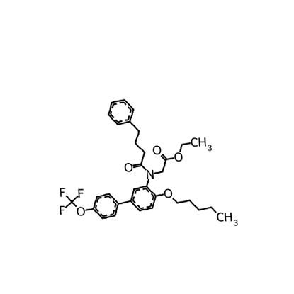 CCCCCOc1ccc(-c2ccc(OC(F)(F)F)cc2)cc1N(CC(=O)OCC)C(=O)CCCc1ccccc1